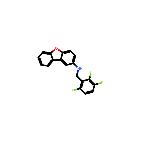 Fc1ccc(F)c(CNc2ccc3oc4ccccc4c3c2)c1F